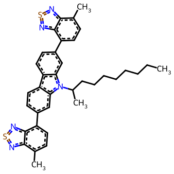 CCCCCCCCC(C)n1c2cc(-c3ccc(C)c4nsnc34)ccc2c2ccc(-c3ccc(C)c4nsnc34)cc21